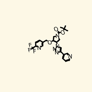 CC(C)(C)OC(=O)N1CC(OCc2ccc(C(F)(F)F)nc2)C(n2cc(-c3cccnc3)nn2)C1